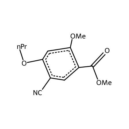 CCCOc1cc(OC)c(C(=O)OC)cc1C#N